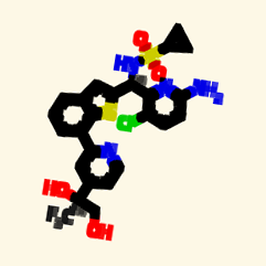 Nc1ccc(Cl)c([C@@H](NS(=O)(=O)C2CC2)c2cc3cccc(-c4cc([C@](O)(CO)C(F)(F)F)ccn4)c3s2)n1